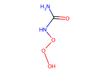 NC(=O)NOOO